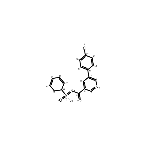 C[S@@](=O)(=NC(=O)c1cncc(-c2ccc(Cl)cc2)c1)C1C=CC=CC1